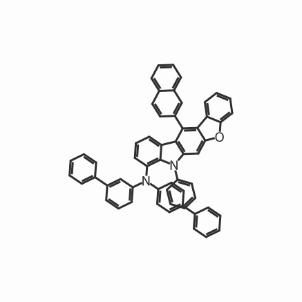 c1ccc(-c2ccc(N(c3cccc(-c4ccccc4)c3)c3cccc4c5c(-c6ccc7ccccc7c6)c6c(cc5n(-c5ccccc5)c34)oc3ccccc36)cc2)cc1